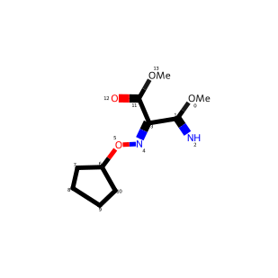 COC(=N)C(=NOC1CCCC1)C(=O)OC